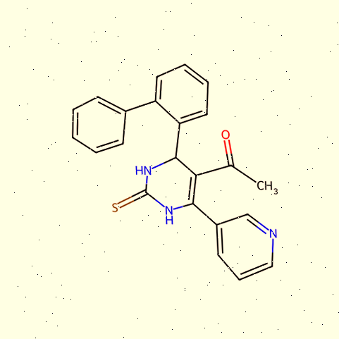 CC(=O)C1=C(c2cccnc2)NC(=S)NC1c1ccccc1-c1ccccc1